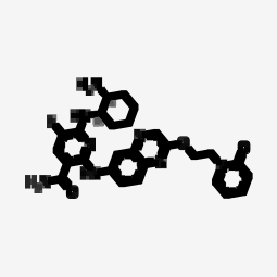 NC(=O)c1cc(F)c(N[C@@H]2CCCC[C@@H]2N)nc1Nc1ccc2nc(OCCn3ccccc3=O)cnc2c1